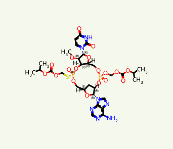 CO[C@@H]1[C@@H]2O[P@](=O)(SCOC(=O)OC(C)C)OC[C@@H]3C[C@@H](OP(=O)(OCOC(=O)OC(C)C)OC[C@H]2O[C@H]1n1ccc(=O)[nH]c1=O)[C@H](n1cnc2c(N)ncnc21)O3